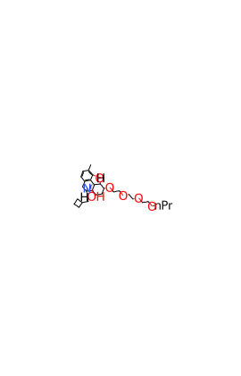 CCCOCCOCCOCCOC1CC[C@@]2(O)[C@H]3Cc4ccc(C)c5c4[C@@]2(CCN3CC2CCC2)[C@H]1O5